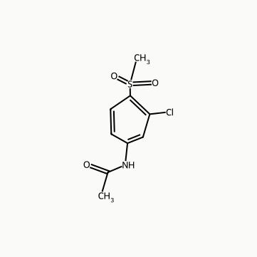 CC(=O)Nc1ccc(S(C)(=O)=O)c(Cl)c1